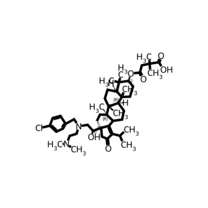 CC(C)C1=C2C3CC[C@@H]4C5(C)CC[C@H](OC(=O)CC(C)(C)C(=O)O)C(C)(C)[C@@H]5CC[C@@]4(C)[C@]3(C)CC[C@@]2([C@@H](O)CN(CCN(C)C)Cc2ccc(Cl)cc2)CC1=O